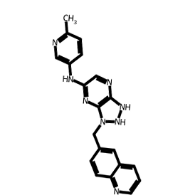 Cc1ccc(Nc2cnc3c(n2)N(Cc2ccc4ncccc4c2)NN3)cn1